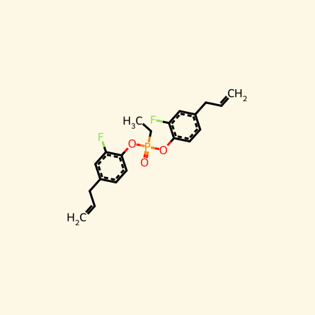 C=CCc1ccc(OP(=O)(CC)Oc2ccc(CC=C)cc2F)c(F)c1